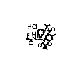 Cc1cc2c(cc1C(=O)N(C(C)C)[C@@H]1CCCNC1)N(CCNC(=O)C(F)F)C(=O)C1(CC1)O2.Cl